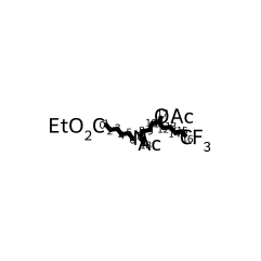 CCOC(=O)CCCCCCN(CCCC(CCCCC(F)(F)F)OC(C)=O)C(C)=O